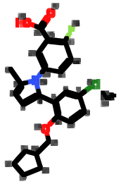 Cc1ccc(-c2cc(Cl)ccc2OCC2CCCC2)n1-c1ccc(F)c(C(=O)O)c1.[Na]